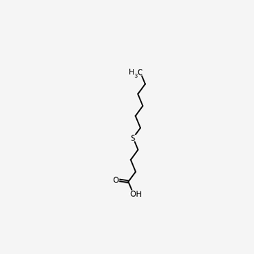 CCCCCCSCCCC(=O)O